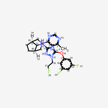 Cc1cc(N2C[C@H]3CC[C@@H](C2)C3Nc2nc(Oc3cc(F)cc(F)c3)n(CCF)n2)ncn1